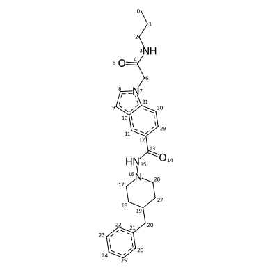 CCCNC(=O)Cn1ccc2cc(C(=O)NN3CCC(Cc4ccccc4)CC3)ccc21